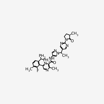 Cc1ccc(C(P)P)c(-c2cnc(C)c(C(=O)Nc3cnn(C(C)c4cnc(N5CC[C@@H](C)C5=O)nc4)c3)n2)c1F